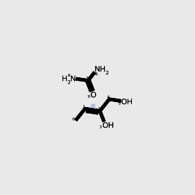 C/C=C(\O)CO.NC(N)=O